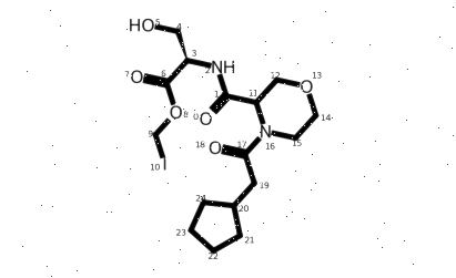 O=C(N[C@H](CO)C(=O)OCI)C1COCCN1C(=O)CC1CCCC1